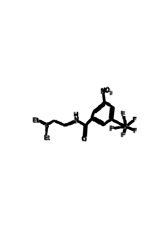 CCN(CC)CCNC(=O)c1cc([N+](=O)[O-])cc(S(F)(F)(F)(F)F)c1